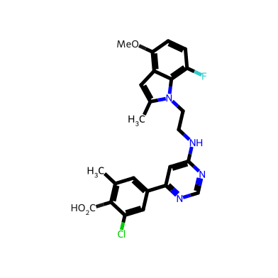 COc1ccc(F)c2c1cc(C)n2CCNc1cc(-c2cc(C)c(C(=O)O)c(Cl)c2)ncn1